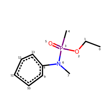 CCOP(C)(=O)N(C)c1ccccc1